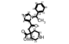 COC(=O)C1(CC(=O)c2cncn2C(C)c2ccccc2)CCNCC1